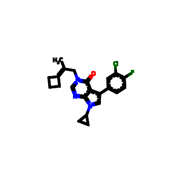 CC(Cn1cnc2c(c(-c3ccc(F)c(Cl)c3)cn2C2CC2)c1=O)=C1CCC1